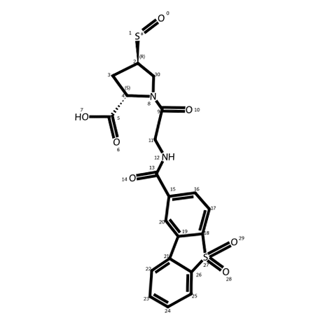 O=[S+][C@@H]1C[C@@H](C(=O)O)N(C(=O)CNC(=O)c2ccc3c(c2)-c2ccccc2S3(=O)=O)C1